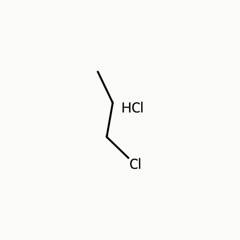 CCCCl.Cl